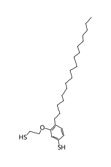 CCCCCCCCCCCCCCCCCCc1ccc(S)cc1OCCS